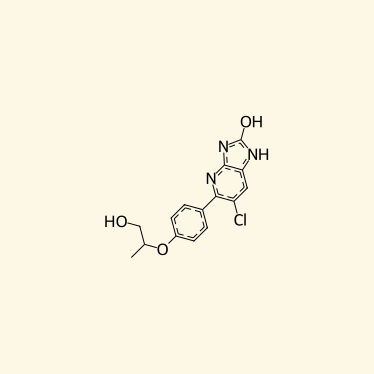 CC(CO)Oc1ccc(-c2nc3nc(O)[nH]c3cc2Cl)cc1